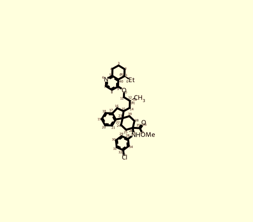 CC[C@@H]1CCCc2nccc(OC[C@H](C)CC3Cc4ccccc4C34CCC(Nc3cccc(Cl)c3)(C(=O)OC)CC4)c21